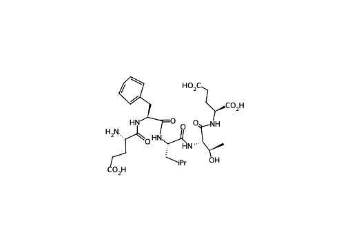 CC(C)C[C@H](NC(=O)[C@H](Cc1ccccc1)NC(=O)[C@@H](N)CCC(=O)O)C(=O)N[C@H](C(=O)N[C@@H](CCC(=O)O)C(=O)O)[C@@H](C)O